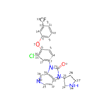 O=c1n(-c2ccc(Oc3cccc(C(F)(F)F)c3)c(Cl)c2)c2cnccc2n1C1CCNC1